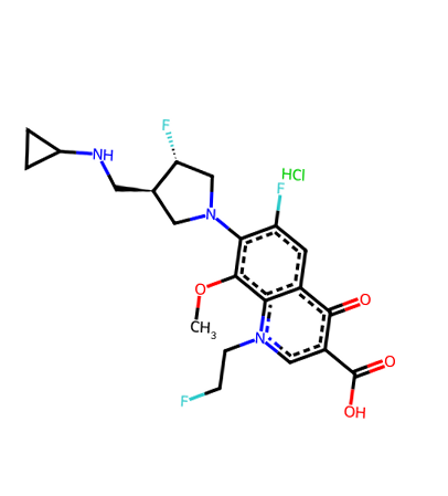 COc1c(N2C[C@@H](CNC3CC3)[C@H](F)C2)c(F)cc2c(=O)c(C(=O)O)cn(CCF)c12.Cl